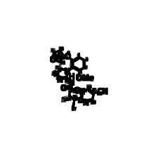 COc1cccc(OC)c1-n1c(NS(=O)(=O)[C@@H](C)[C@H](C)c2ncc(C#N)cn2)nnc1[C@H]1CCCO1